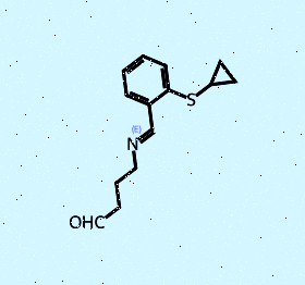 O=CCCC/N=C/c1ccccc1SC1CC1